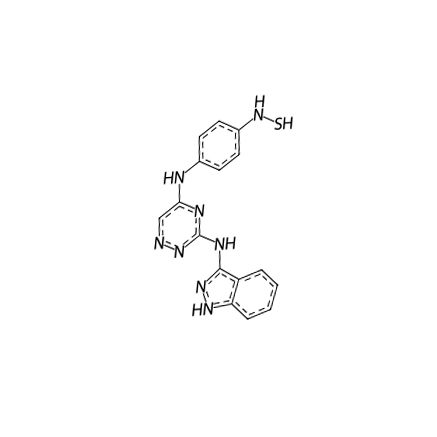 SNc1ccc(Nc2cnnc(Nc3n[nH]c4ccccc34)n2)cc1